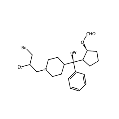 CCC[C@@](c1ccccc1)(C1CCN(CC(CC)CC(C)CC)CC1)C1CCC[C@@H]1OC=O